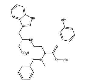 CCCc1ccccc1.CN(Cc1ccccc1)N(CCN[C@H](CC(=O)O)Cc1c[nH]c2ccccc12)C(=O)OC(C)(C)C